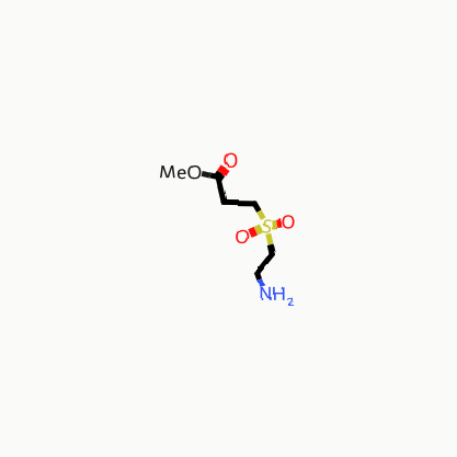 COC(=O)CCS(=O)(=O)CCN